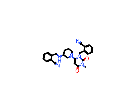 Cn1c(=O)cc(N2CCCC(NCc3ccccc3C#N)C2)n(Cc2ccccc2C#N)c1=O